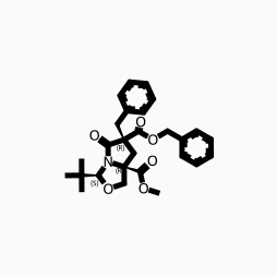 COC(=O)[C@@]12CO[C@@H](C(C)(C)C)N1C(=O)[C@](Cc1ccccc1)(C(=O)OCc1ccccc1)C2